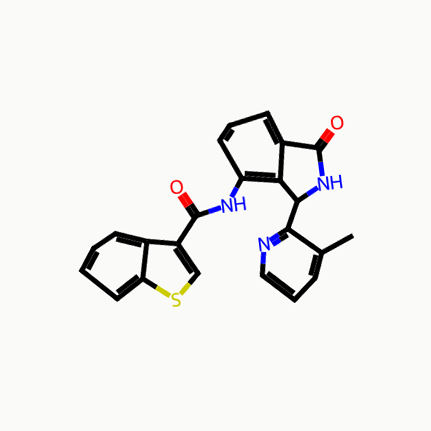 Cc1cccnc1C1NC(=O)c2cccc(NC(=O)c3csc4ccccc34)c21